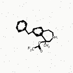 C[C@]1(OC(=O)C(F)(F)F)CNCCc2ccc(Cc3ccccc3)cc21